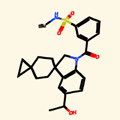 CC(O)c1ccc2c(c1)C1(CCC3(CC3)CC1)CN2C(=O)c1cccc(S(=O)(=O)NC(C)(C)C)c1